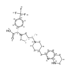 C[C@@H]([C@@H]1CCN([C@H](C(=O)O)c2ccc(C(F)(F)F)cc2)C1)N1CCC(Cc2ccc3c(n2)NCCC3)CC1